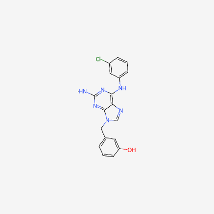 [NH]c1nc(Nc2cccc(Cl)c2)c2ncn(Cc3cccc(O)c3)c2n1